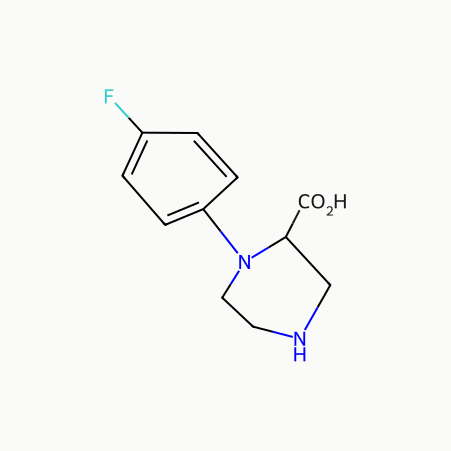 O=C(O)C1CNCCN1c1ccc(F)cc1